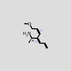 C=C/C=C(\C=C/COC)[C@@H](C)N